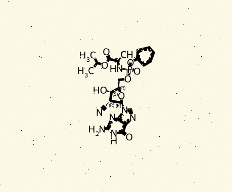 CC(C)OC(=O)[C@@H](C)N[P@@](=O)(OC[C@H]1O[C@@H](n2cnc3c(=O)[nH]c(N)nc32)[C@H](C#N)[C@@H]1O)Oc1ccccc1